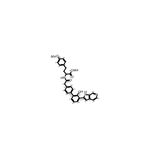 COC(=O)C(CCc1ccc(OC)cc1)NC(=O)Cc1ccc(-c2cccc(-c3cc4ccncc4[nH]3)c2O)cc1